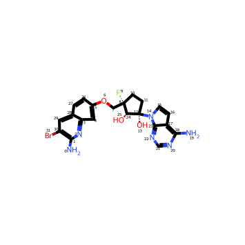 Nc1nc2cc(OC[C@@]3(F)CC[C@@](O)(n4ccc5c(N)ncnc54)[C@@H]3O)ccc2cc1Br